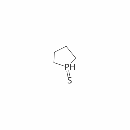 S=[PH]1CCCC1